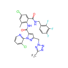 Cc1cc(Cl)cc(C(=O)NCc2ccc(F)c(F)c2F)c1NC(=O)c1cc(Cn2nnc(C(F)(F)F)n2)nn1-c1ncccc1Cl